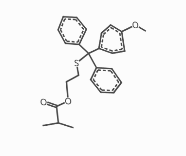 COc1ccc(C(SCCOC(=O)C(C)C)(c2ccccc2)c2ccccc2)cc1